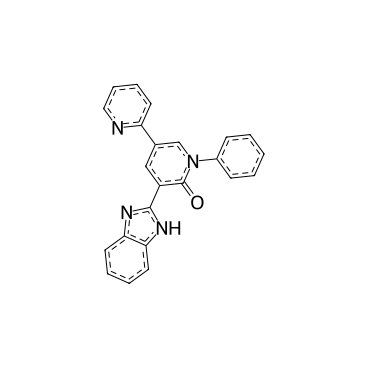 O=c1c(-c2nc3ccccc3[nH]2)cc(-c2ccccn2)cn1-c1ccccc1